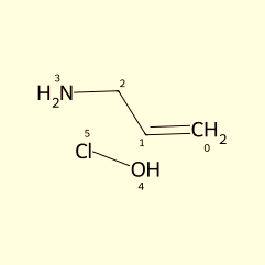 C=CCN.OCl